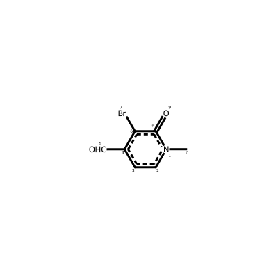 Cn1ccc(C=O)c(Br)c1=O